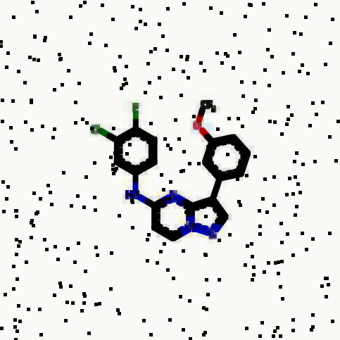 Fc1ccc(Nc2ccn3ncc(-c4cccc(OC(F)(F)F)c4)c3n2)cc1Cl